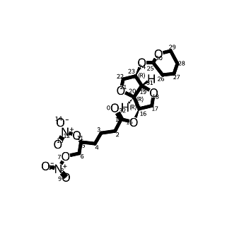 O=C(CCCC(CO[N+](=O)[O-])O[N+](=O)[O-])O[C@@H]1CO[C@@H]2[C@@H]1OC[C@H]2OC1CCCCO1